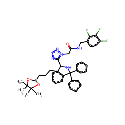 CC1(C)OB(CCCCC(NC(c2ccccc2)(c2ccccc2)c2ccccc2)c2nnnn2CC(=O)NCc2ccc(F)c(F)c2F)OC1(C)C